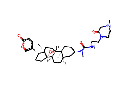 CN1CCN(CCNC(=O)N(C)[C@H]2CC[C@@]3(C)[C@H](CC[C@@H]4[C@@H]3CC[C@]3(C)[C@@H](c5ccc(=O)oc5)CC[C@]43O)C2)C(=O)C1